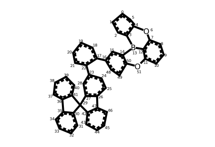 c1ccc2c(c1)Oc1cccc3c1B2c1cc(-c2ccccc2-c2ccc4c(c2)C2(c5ccccc5-c5ccccc52)c2ccccc2-4)ccc1O3